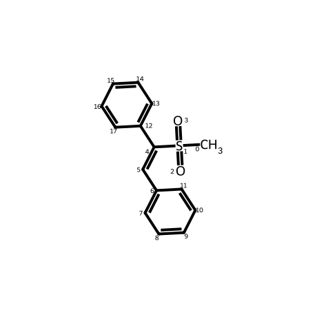 CS(=O)(=O)C(=Cc1ccccc1)c1ccccc1